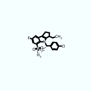 CCC1CCc2c1n([C@@H](C)c1ccc(Cl)cc1)c1c(S(C)(=O)=O)cc(F)cc21